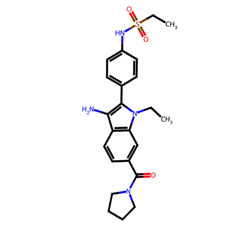 CCn1c(-c2ccc(NS(=O)(=O)CC)cc2)c(N)c2ccc(C(=O)N3CCCC3)cc21